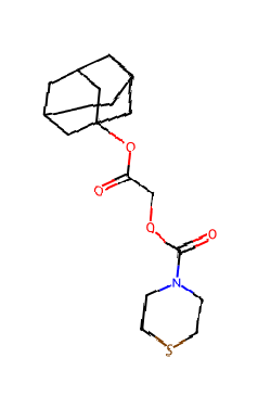 O=C(COC(=O)N1CCSCC1)OC12CC3CC(CC(C3)C1)C2